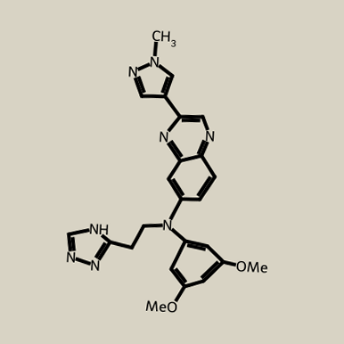 COc1cc(OC)cc(N(CCc2nnc[nH]2)c2ccc3ncc(-c4cnn(C)c4)nc3c2)c1